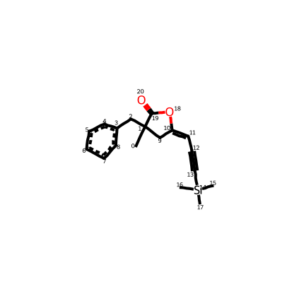 CC1(Cc2ccccc2)C/C(=C\C#C[Si](C)(C)C)OC1=O